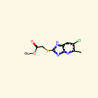 Cc1nc2nc(SCC(=O)OC(C)(C)C)[nH]c2cc1Cl